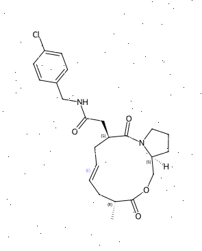 C[C@@H]1C/C=C/C[C@@H](CC(=O)NCc2ccc(Cl)cc2)C(=O)N2CCC[C@H]2COC1=O